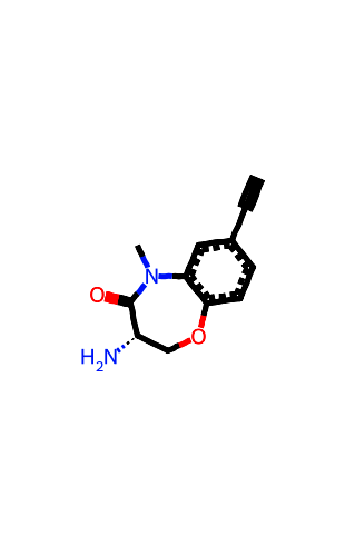 C#Cc1ccc2c(c1)N(C)C(=O)[C@@H](N)CO2